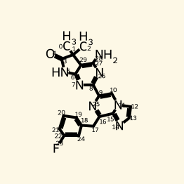 CC1(C)C(=O)Nc2nc(-c3cn4ccnc4c(Cc4cccc(F)c4)n3)nc(N)c21